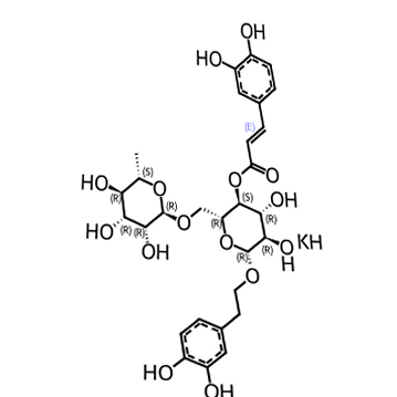 C[C@@H]1O[C@@H](OC[C@H]2O[C@@H](OCCc3ccc(O)c(O)c3)[C@H](O)[C@@H](O)[C@@H]2OC(=O)/C=C/c2ccc(O)c(O)c2)[C@H](O)[C@H](O)[C@H]1O.[KH]